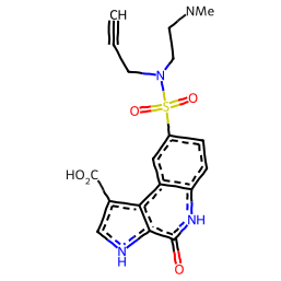 C#CCN(CCNC)S(=O)(=O)c1ccc2[nH]c(=O)c3[nH]cc(C(=O)O)c3c2c1